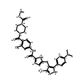 CN(C)c1ccc(-c2[nH]nc(C(F)(F)F)c2Cc2cnc(C(=O)Nc3ccc(C(=O)N4CCN(C(=O)OC(C)(C)C)CC4)c(Cl)c3)[nH]2)cn1